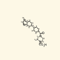 CC1CN(C(=O)c2ccc(-c3ccc4c(c3)ncn4C)cc2)CCN1C(=O)O